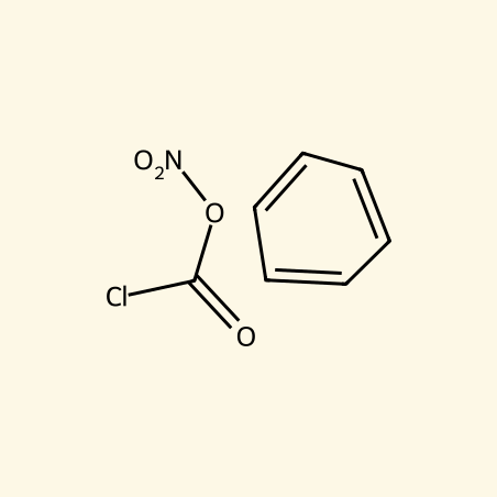 O=C(Cl)O[N+](=O)[O-].c1ccccc1